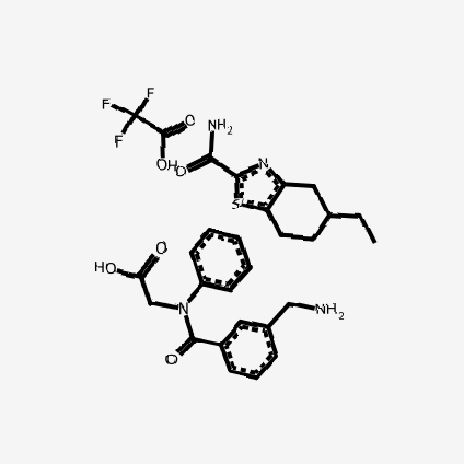 CCC1CCc2sc(C(N)=O)nc2C1.NCc1cccc(C(=O)N(CC(=O)O)c2ccccc2)c1.O=C(O)C(F)(F)F